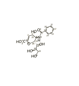 O=C(O)C1=C[C@H](O)[C@@H](NC(=O)c2ccccc2)[C@H](C(O)C(O)CO)O1